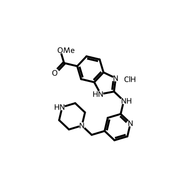 COC(=O)c1ccc2nc(Nc3cc(CN4CCNCC4)ccn3)[nH]c2c1.Cl